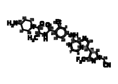 CCc1cc(Nc2nccn3c(-c4cn(CC#N)nc4C(F)(F)F)cnc23)ccc1C(=O)N[C@H](C)C(=O)N1CCC(N)CC1